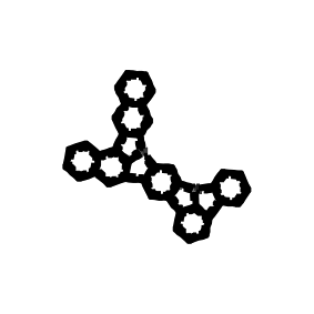 c1ccc2cc3c(cc2c1)c1c2ccccc2cc2c4cc5c6cccc7c8ccccc8n(c5cc4n3c21)c76